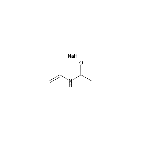 C=CNC(C)=O.[NaH]